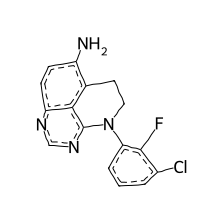 Nc1ccc2ncnc3c2c1CCN3c1cccc(Cl)c1F